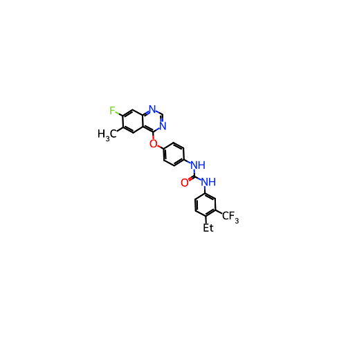 CCc1ccc(NC(=O)Nc2ccc(Oc3ncnc4cc(F)c(C)cc34)cc2)cc1C(F)(F)F